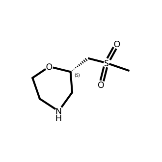 CS(=O)(=O)C[C@@H]1CNCCO1